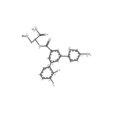 COCC(OC(=O)c1cc(-c2ccc(C)cn2)cc(-c2cccc(F)c2F)c1)C(N)=O